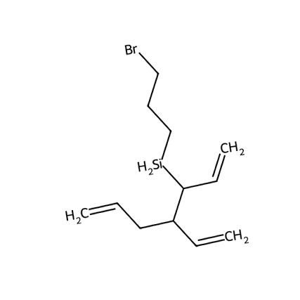 C=CCC(C=C)C(C=C)[SiH2]CCCBr